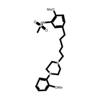 COc1ccc(CCCCCN2CCN(c3ccccc3OC)CC2)cc1NS(C)(=O)=O